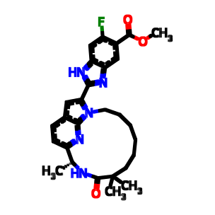 COC(=O)c1cc2nc(-c3cc4ccc5nc4n3CCCCCCC(C)(C)C(=O)N[C@@H]5C)[nH]c2cc1F